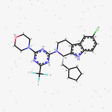 FC(F)(F)c1nc(N2CCOCC2)nc(N2CCc3c([nH]c4ccc(Cl)cc34)[C@@H]2CC2CCCC2)n1